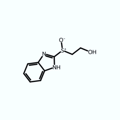 [O-][S+](CCO)c1nc2ccccc2[nH]1